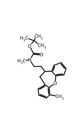 Cc1cccc2c1Oc1ccccc1C(CCN(C)C(=O)OC(C)(C)C)C2